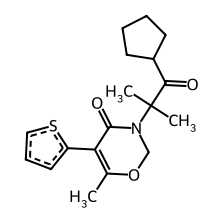 CC1=C(c2cccs2)C(=O)N(C(C)(C)C(=O)C2CCCC2)CO1